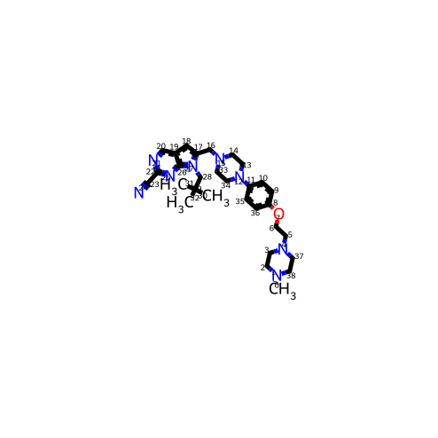 CN1CCN(CCOc2ccc(N3CCN(Cc4cc5cnc(C#N)nc5n4CC(C)(C)C)CC3)cc2)CC1